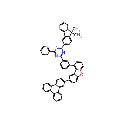 CC1(C)c2ccccc2-c2cc(-c3nc(-c4ccccc4)nc(-c4cccc(-c5cccc6oc7ccc(-c8ccc9c%10ccccc%10c%10ccccc%10c9c8)cc7c56)c4)n3)ccc21